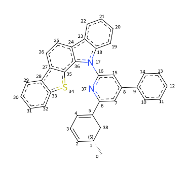 C[C@@H]1C=CC=C(c2cc(-c3ccccc3)cc(-n3c4ccccc4c4ccc5c6ccccc6sc5c43)n2)C1